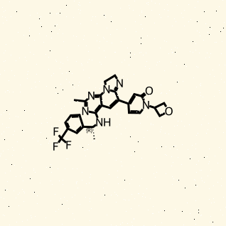 Cc1nc(N[C@H](C)c2cccc(C(F)(F)F)c2)c2c(n1)N1CCN=C1C(c1ccn(C3COC3)c(=O)c1)=C2